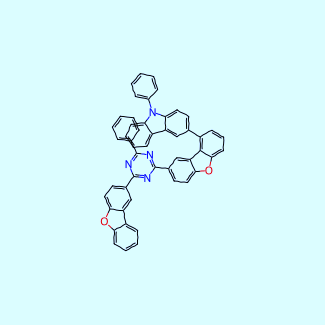 c1ccc(-c2nc(-c3ccc4oc5ccccc5c4c3)nc(-c3ccc4oc5cccc(-c6ccc7c(c6)c6ccccc6n7-c6ccccc6)c5c4c3)n2)cc1